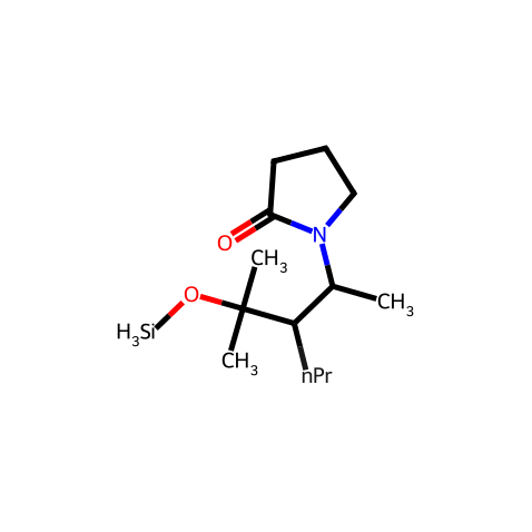 CCCC(C(C)N1CCCC1=O)C(C)(C)O[SiH3]